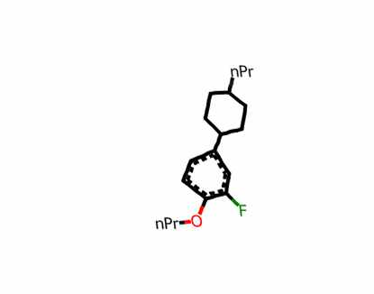 CCCOc1ccc(C2CCC(CCC)CC2)cc1F